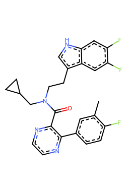 Cc1cc(-c2nccnc2C(=O)N(CCc2c[nH]c3cc(F)c(F)cc23)CC2CC2)ccc1F